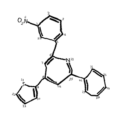 O=[N+]([O-])c1cccc(-c2cc(-c3cccs3)cc(-c3ccccc3)n2)c1